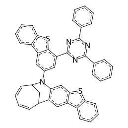 C1=CC2CC(C=C1)N(c1cc(-c3nc(-c4ccccc4)nc(-c4ccccc4)n3)c3sc4ccccc4c3c1)c1cc3sc4ccccc4c3cc12